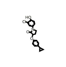 O=C1C(Oc2ccc(C3CC3)cc2)CCN1c1ccc(O)c(Cl)c1